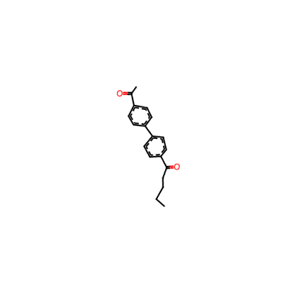 CCCCC(=O)c1ccc(-c2ccc(C(C)=O)cc2)cc1